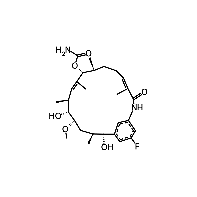 CO[C@H]1C[C@H](C)[C@@H](O)c2cc(F)cc(c2)NC(=O)/C(C)=C/CC[C@H](C)[C@@H](OC(N)=O)/C(C)=C/[C@H](C)[C@H]1O